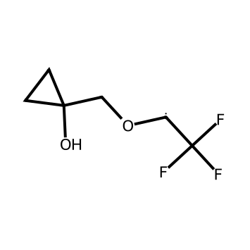 OC1(CO[CH]C(F)(F)F)CC1